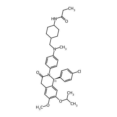 CCC(=O)NC1CCC(CN(C)c2ccc(N3C(=O)Cc4cc(OC)c(OC(C)C)cc4[C@@H]3c3ccc(Cl)cc3)cc2)CC1